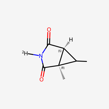 [2H]N1C(=O)[C@H]2C(C)[C@@]2(C)C1=O